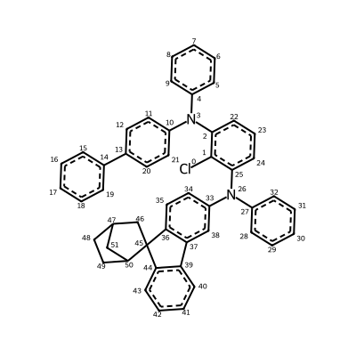 Clc1c(N(c2ccccc2)c2ccc(-c3ccccc3)cc2)cccc1N(c1ccccc1)c1ccc2c(c1)-c1ccccc1C21CC2CCC1C2